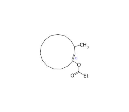 CCC(=O)O/C1=C/C(C)CCCCCCCCCCCC1